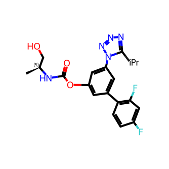 CC(C)c1nnnn1-c1cc(OC(=O)N[C@@H](C)CO)cc(-c2ccc(F)cc2F)c1